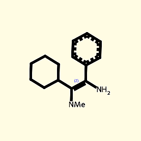 CN/C(=C(\N)c1ccccc1)C1CCCCC1